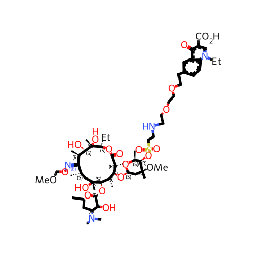 CC[C@@H]1OC(=O)[C@H](C)[C@@H](O[C@@H]2C[C@](C)(OC)[C@H](OS(=O)(=O)CCNCCOCCOCCc3ccc4c(c3)c(=O)c(C(=O)O)cn4CC)[C@H](C)O2)[C@H](C)[C@H](O[C@H]2OC(C)C[C@@H](N(C)C)C2O)[C@](C)(O)C[C@H](C)/C(=N\OCOC)[C@@H](C)[C@H](O)[C@]1(C)O